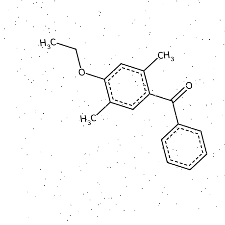 CCOc1cc(C)c(C(=O)c2ccccc2)cc1C